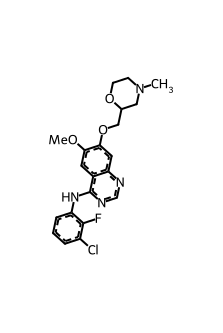 COc1cc2c(Nc3cccc(Cl)c3F)ncnc2cc1OCC1CN(C)CCO1